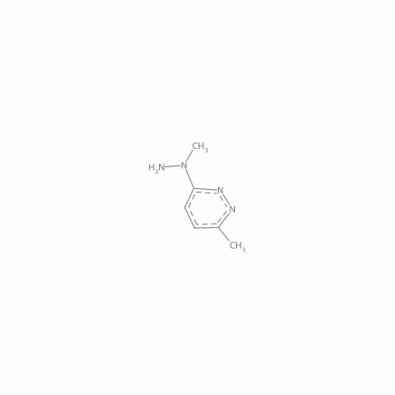 Cc1ccc(N(C)N)nn1